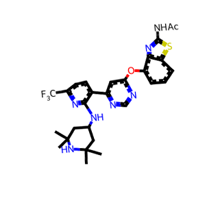 CC(=O)Nc1nc2c(Oc3cc(-c4ccc(C(F)(F)F)nc4NC4CC(C)(C)NC(C)(C)C4)ncn3)cccc2s1